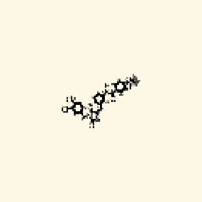 O=C(Nc1cccc(/C=C2/SC(=O)N(Cc3ccc(Cl)c(Cl)c3)C2=O)c1)c1ccc(OC(F)(F)F)cc1